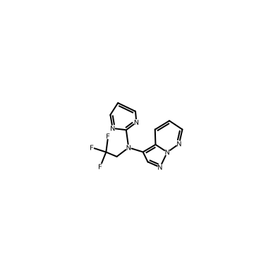 FC(F)(F)CN(c1ncccn1)c1cnn2ncccc12